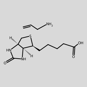 C=CCN.O=C(O)CCCC[C@@H]1SC[C@@H]2NC(=O)N[C@@H]21